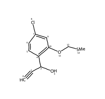 C#CC(O)c1ccc(Cl)cc1OCSC